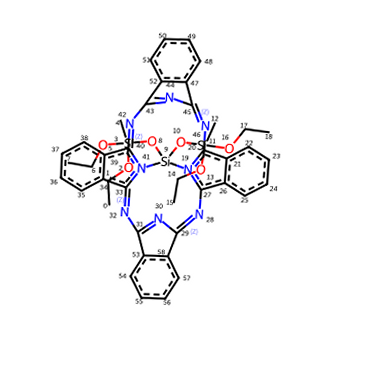 CCO[Si](C)(OCC)O[Si]1(O[Si](C)(OCC)OCC)n2c3c4ccccc4c2/N=C2N=C(/N=c4/c5ccccc5/c(n41)=N/C1=NC(=N\3)/c3ccccc31)c1ccccc1\2